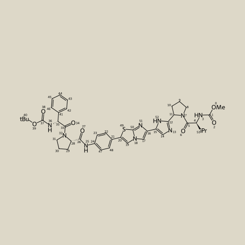 COC(=O)N[C@H](C(=O)N1CCCC1c1ncc(-c2cn3cc(-c4ccc(NC(=O)[C@@H]5CCCN5C(=O)[C@H](NC(=O)OC(C)(C)C)c5ccccc5)cc4)sc3n2)[nH]1)C(C)C